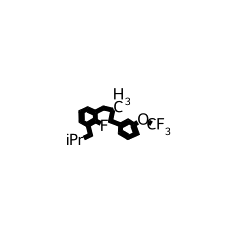 CC(C)Cc1cccc(CC(C)Cc2cccc(OC(F)(F)F)c2)c1F